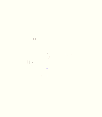 C=C/C=C(B/C(C=C)=C/C=C\C)/C=C/C